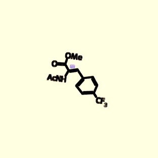 COC(=O)/C(=C/c1ccc(C(F)(F)F)cc1)NC(C)=O